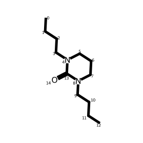 CCCCN1CCCN(CCCC)C1=O